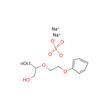 CCCCCCCCC(CO)OCCOc1ccccc1.O=S(=O)([O-])[O-].[Na+].[Na+]